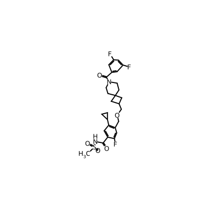 CS(=O)(=O)NC(=O)c1cc(C2CC2)c(COCC2CC3(CCN(C(=O)c4cc(F)cc(F)c4)CC3)C2)cc1F